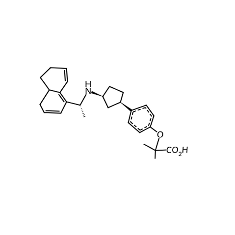 C[C@@H](N[C@H]1CC[C@@H](c2ccc(OC(C)(C)C(=O)O)cc2)C1)C1=C2C=CCCC2CC=C1